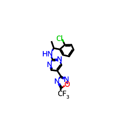 CC(Nc1ncc(-c2noc(C(F)(F)F)n2)cn1)c1ccccc1Cl